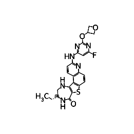 CC[C@@H]1CNc2c(sc3ccc4nc(Nc5cc(F)nc(OC6COC6)n5)ccc4c23)C(=O)N1